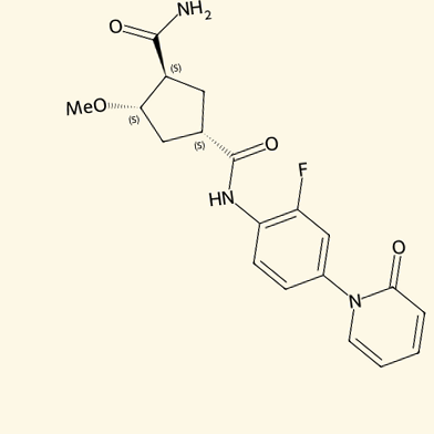 CO[C@H]1C[C@@H](C(=O)Nc2ccc(-n3ccccc3=O)cc2F)C[C@@H]1C(N)=O